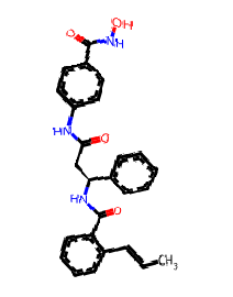 C/C=C/c1ccccc1C(=O)N[C@@H](CC(=O)Nc1ccc(C(=O)NO)cc1)c1ccccc1